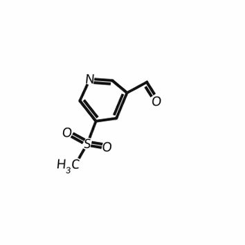 CS(=O)(=O)c1cncc(C=O)c1